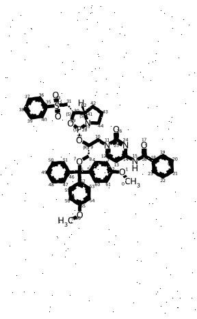 COc1ccc(C(OC[C@@H](Cn2ccc(NC(=O)c3ccccc3)nc2=O)O[P@]2O[C@H](CS(=O)(=O)c3ccccc3)[C@@H]3CCCN32)(c2ccccc2)c2ccc(OC)cc2)cc1